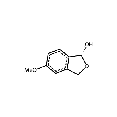 COc1ccc2c(c1)CO[C@H]2O